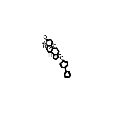 CN1C(=O)CC[C@]2(C)[C@H]3CC[C@]4(C)[C@H](Oc5ccc(-c6ccccc6)cc5)CC[C@H]4[C@@H]3CC[C@@H]12